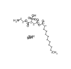 CCCCCCCCCCCC(=O)OC(=O)CC(C(=O)OCCN)S(=O)(=O)O.[NaH].[NaH]